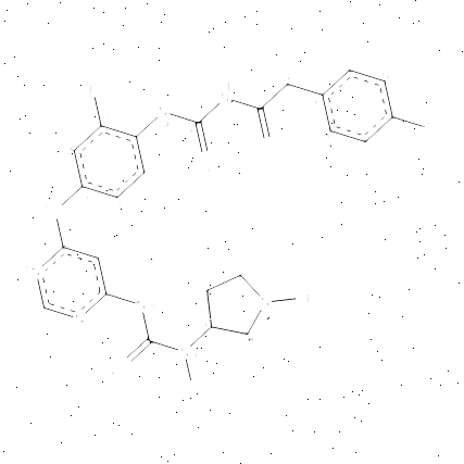 CN1CCC(N(C)C(=O)Nc2cc(Oc3ccc(NC(=S)NC(=O)Cc4ccc(F)cc4)c(F)c3)ncn2)C1